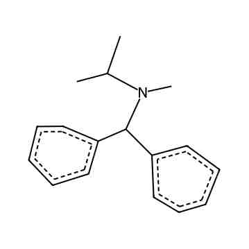 CC(C)N(C)C(c1ccccc1)c1ccccc1